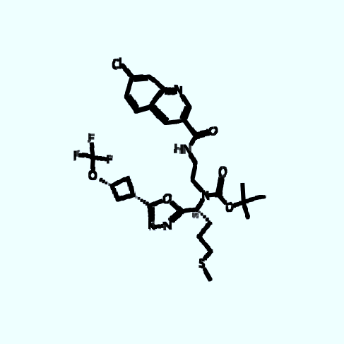 CSCCC[C@H](c1nnc([C@H]2C[C@@H](OC(F)(F)F)C2)o1)N(CCNC(=O)c1cnc2cc(Cl)ccc2c1)C(=O)OC(C)(C)C